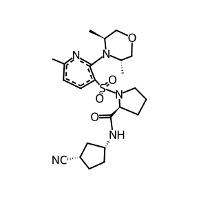 Cc1ccc(S(=O)(=O)N2CCC[C@H]2C(=O)N[C@@H]2CC[C@H](C#N)C2)c(N2[C@@H](C)COC[C@@H]2C)n1